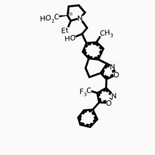 CCC1[C@@H](C(=O)O)CCCN1CC(O)c1cc2c(cc1C)-c1noc(-c3noc(-c4ccccc4)c3C(F)(F)F)c1CC2